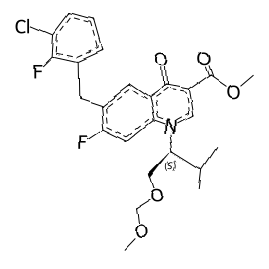 COCOC[C@H](C(C)C)n1cc(C(=O)OC)c(=O)c2cc(Cc3cccc(Cl)c3F)c(F)cc21